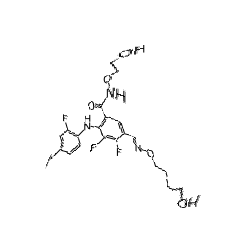 O=C(NOCCO)c1cc(C=NOCCCCO)c(F)c(F)c1Nc1ccc(I)cc1F